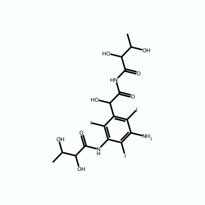 CC(O)C(O)C(=O)NC(=O)C(O)c1c(I)c(N)c(I)c(NC(=O)C(O)C(C)O)c1I